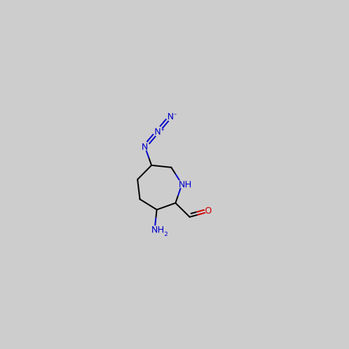 [N-]=[N+]=NC1CCC(N)C(C=O)NC1